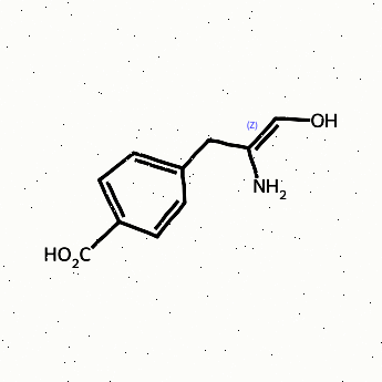 N/C(=C\O)Cc1ccc(C(=O)O)cc1